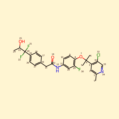 Cc1cc(C(C)(C)Oc2ccc(NC(=O)Cc3ccc(C(F)(F)C(C)O)cc3)cc2F)c(Cl)cn1